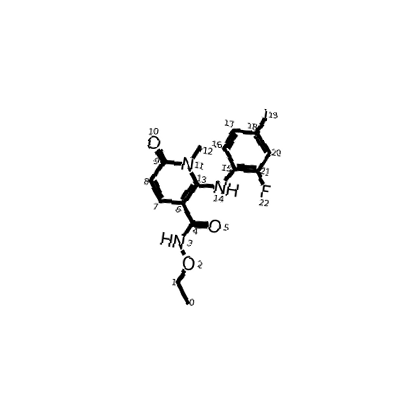 CCONC(=O)c1ccc(=O)n(C)c1Nc1ccc(I)cc1F